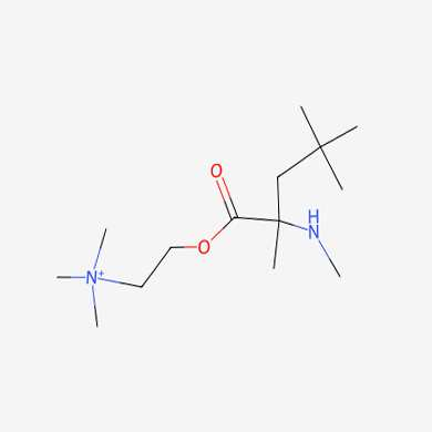 CNC(C)(CC(C)(C)C)C(=O)OCC[N+](C)(C)C